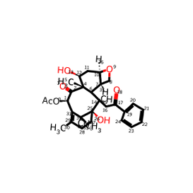 CC(=O)O[C@H]1C(=O)[C@@]2(C)C([C@@H]3CO[C@@H]3C[C@@H]2O)[C@](C)(CC(=O)c2ccccc2)[C@]2(O)CCC(C)=C1C2(C)C